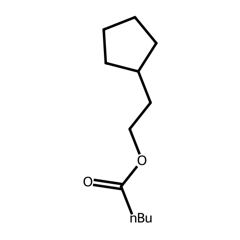 CCCCC(=O)OCCC1CCCC1